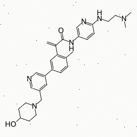 C=C(C(=O)Nc1ccc(NCCN(C)C)nc1)c1cc(-c2cncc(CN3CCC(O)CC3)c2)ccc1C